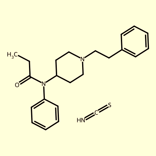 CCC(=O)N(c1ccccc1)C1CCN(CCc2ccccc2)CC1.N=C=S